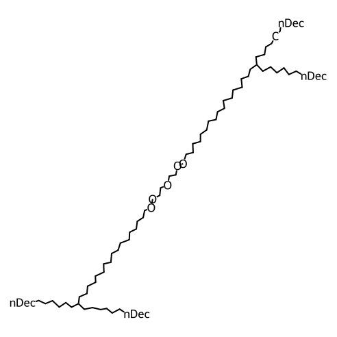 CCCCCCCCCCCCCCCCC(CCCCCCCCCCCCCCCC)CCCCCCCCCCCCCCCCCOOCCOCCOOCCCCCCCCCCCCCCCCCC(CCCCCCCCCCCCCCCC)CCCCCCCCCCCCCCCC